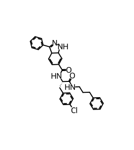 O=C(N[C@@H](Cc1ccc(Cl)cc1)C(=O)NCCCc1ccccc1)C1=CC2NN=C(c3ccccc3)C2C=C1